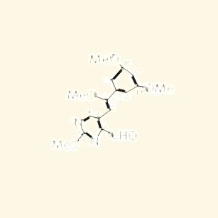 CO/C(=C\c1cnc(SC)nc1C=O)c1cc(OC)cc(OC)c1